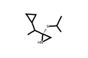 CC(C)S[C@]1(C(C)C2CC2)CN1